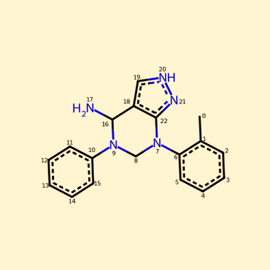 Cc1ccccc1N1CN(c2ccccc2)C(N)c2c[nH]nc21